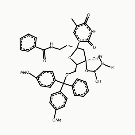 COc1ccc(C(OC[C@H]2O[C@@](CCNC(=O)c3ccccc3)(n3cc(C)c(=O)[nH]c3=O)C[C@@]2(O)OP(O)N(C(C)C)C(C)C)(c2ccccc2)c2ccc(OC)cc2)cc1